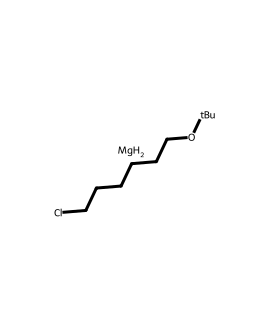 CC(C)(C)OCCCCCCCl.[MgH2]